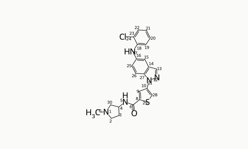 CN1CCC(NC(=O)c2cc(-n3ncc4cc(Nc5ccccc5Cl)ccc43)cs2)C1